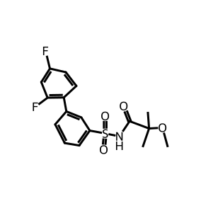 COC(C)(C)C(=O)NS(=O)(=O)c1cccc(-c2ccc(F)cc2F)c1